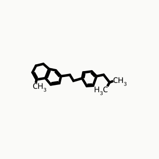 CC1=CCCc2cc(CCc3ccc(CC(C)C)cc3)ccc21